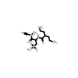 CCCC(CCC)C(=O)NC(CS(C)(=O)=O)C(=O)N(C)C#N